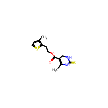 CC1=C(C(=O)OCCc2sccc2C)CNC(=S)N1